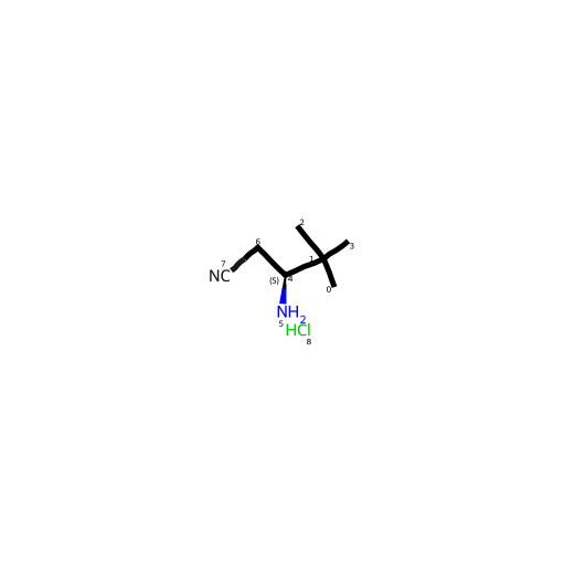 CC(C)(C)[C@@H](N)CC#N.Cl